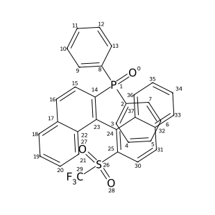 O=P(c1ccccc1)(c1ccccc1)c1ccc2ccccc2c1-c1c(S(=O)(=O)C(F)(F)F)ccc2ccccc12